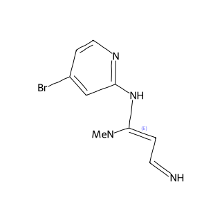 CN/C(=C\C=N)Nc1cc(Br)ccn1